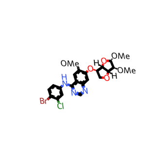 COc1cc2c(Nc3ccc(Br)c(Cl)c3)ncnc2cc1O[C@@H]1CO[C@H]2[C@H](OC)[C@@H](OC)O[C@H]21